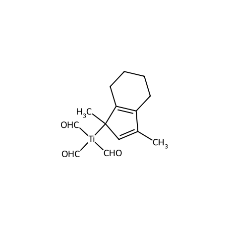 CC1=C[C](C)([Ti]([CH]=O)([CH]=O)[CH]=O)C2=C1CCCC2